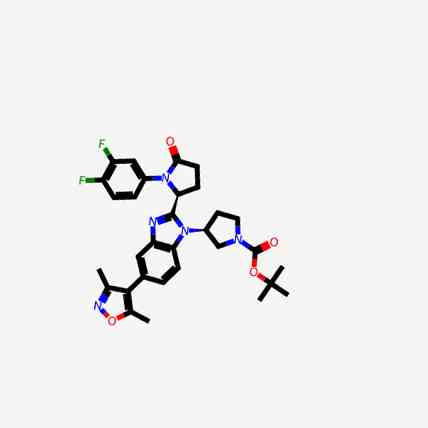 Cc1noc(C)c1-c1ccc2c(c1)nc([C@@H]1CCC(=O)N1c1ccc(F)c(F)c1)n2[C@H]1CCN(C(=O)OC(C)(C)C)C1